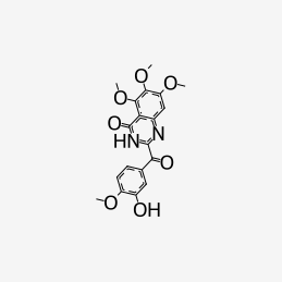 COc1ccc(C(=O)c2nc3cc(OC)c(OC)c(OC)c3c(=O)[nH]2)cc1O